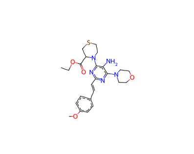 CCOC(=O)C1CSCCN1c1nc(C=Cc2ccc(OC)cc2)nc(N2CCOCC2)c1N